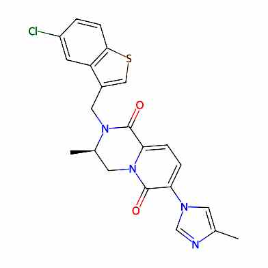 Cc1cn(-c2ccc3n(c2=O)C[C@@H](C)N(Cc2csc4ccc(Cl)cc24)C3=O)cn1